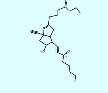 CCCCC[C@H](O)/C=C/C1C(O)CC2(C#N)N=C(CCCC(=O)SCC)CC12